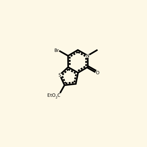 CCOC(=O)c1cc2c(=O)n(C)cc(Br)c2s1